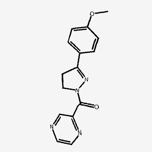 COc1ccc(C2=NN(C(=O)c3cnccn3)CC2)cc1